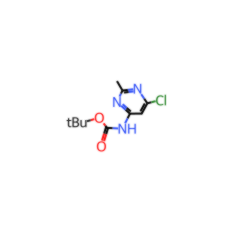 Cc1nc(Cl)cc(NC(=O)OC(C)(C)C)n1